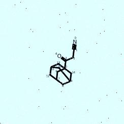 N#CCC(=O)C12CC3CC(CC(C3)C1)C2